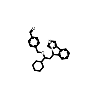 O=Cc1ccc(COC(CC2c3ccccc3-c3cncn32)C2CCCCC2)cc1